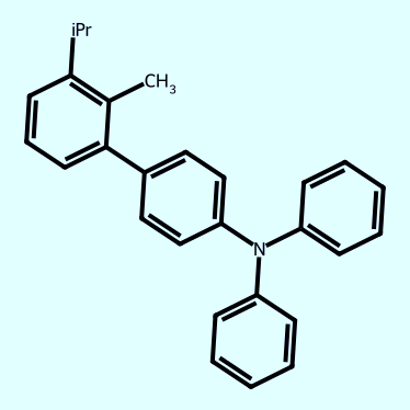 Cc1c(-c2ccc(N(c3ccccc3)c3ccccc3)cc2)cccc1C(C)C